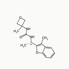 Cc1c([C@H](C)NC(=O)NC2(C)COC2)oc2ccccc12